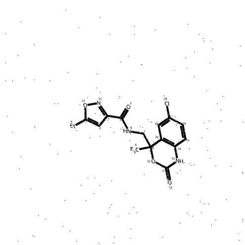 CCc1cc(C(=O)NCC2(C(F)(F)F)OC(=O)Nc3ccc(Cl)cc32)no1